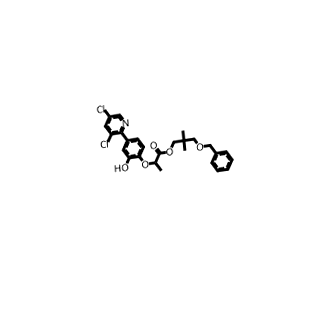 CC(Oc1ccc(-c2ncc(Cl)cc2Cl)cc1O)C(=O)OCC(C)(C)COCc1ccccc1